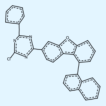 Clc1nc(-c2ccccc2)nc(-c2ccc3c(c2)oc2cccc(-c4cccc5ccccc45)c23)n1